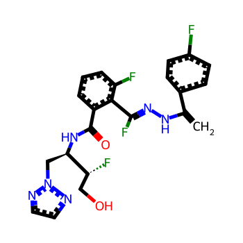 C=C(N/N=C(\F)c1c(F)cccc1C(=O)N[C@H](Cn1nccn1)[C@H](F)CO)c1ccc(F)cc1